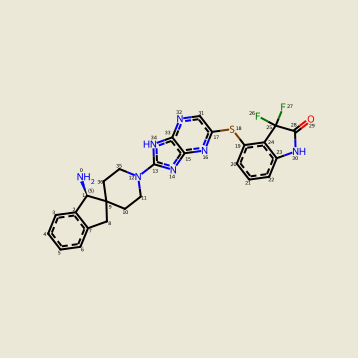 N[C@@H]1c2ccccc2CC12CCN(c1nc3nc(Sc4cccc5c4C(F)(F)C(=O)N5)cnc3[nH]1)CC2